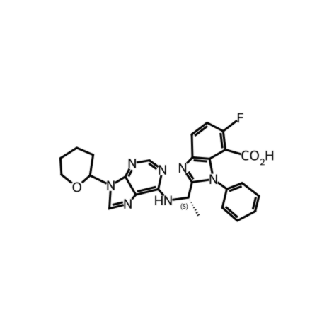 C[C@H](Nc1ncnc2c1ncn2C1CCCCO1)c1nc2ccc(F)c(C(=O)O)c2n1-c1ccccc1